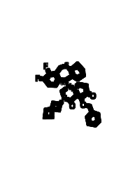 O=C1c2c(OCc3ccccc3)c(=O)ccn2N([C@@H]2c3ccccc3SCc3c2ccc(F)c3F)CN1C1CC2(CCC2)C1